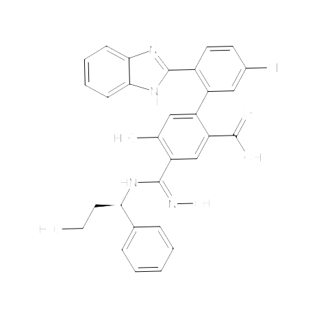 CCC[C@@H](N/C(=N/C)c1cc(C(=O)O)c(-c2cc(Cl)ccc2-c2nc3ccccc3[nH]2)cc1C)c1ccccc1